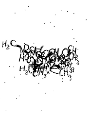 C=CCNC(=O)C(=O)C(C)NC(=O)[C@@H]1[C@@H]2[C@H](CN1C(=O)[C@@H](NC(=O)N[C@H](CN(C)S(=O)(=O)C(C)(C)C)C(C)(C)C)C(C)(C)C)C2(C)C